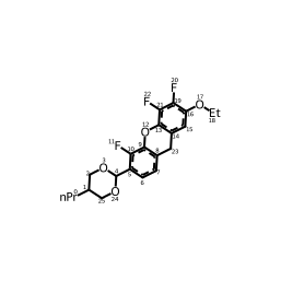 CCCC1COC(c2ccc3c(c2F)Oc2c(cc(OCC)c(F)c2F)C3)OC1